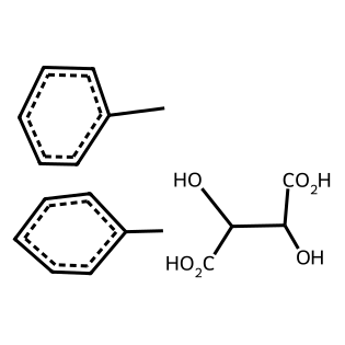 Cc1ccccc1.Cc1ccccc1.O=C(O)C(O)C(O)C(=O)O